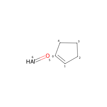 C1=CCCC1.[O]=[AlH]